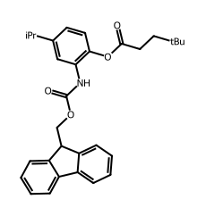 CC(C)c1ccc(OC(=O)CCC(C)(C)C)c(NC(=O)OCC2c3ccccc3-c3ccccc32)c1